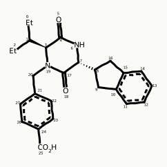 CCC(CC)[C@H]1C(=O)N[C@H](C2Cc3ccccc3C2)C(=O)N1Cc1ccc(C(=O)O)cc1